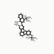 Cc1c(-c2cc3c(c[n+]2C)c2cccc4c5cc(CC(C)(C)C)ccc5n3c42)cc(C(C)(C)C)c2ccccc12